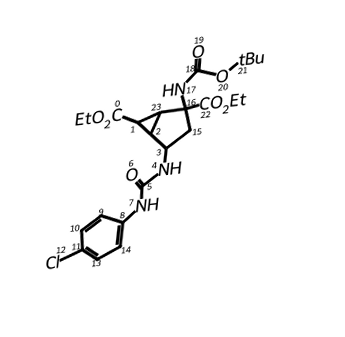 CCOC(=O)C1C2C(NC(=O)Nc3ccc(Cl)cc3)CC(NC(=O)OC(C)(C)C)(C(=O)OCC)C12